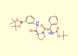 CC(C)(C)OC(=O)N[C@@H](C(=O)N1CCC[C@H]1C(=O)Nc1cccc(B2OC(C)(C)C(C)(C)O2)c1)c1ccccc1